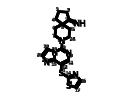 N=C1CCCC12CCN(c1ncc(Sc3nccs3)c3nccn13)CC2